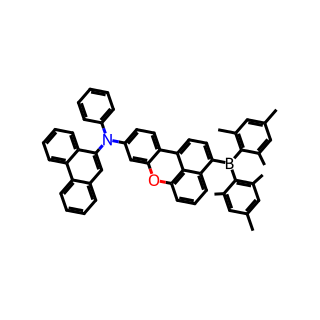 Cc1cc(C)c(B(c2c(C)cc(C)cc2C)c2ccc3c4c(cccc24)Oc2cc(N(c4ccccc4)c4cc5ccccc5c5ccccc45)ccc2-3)c(C)c1